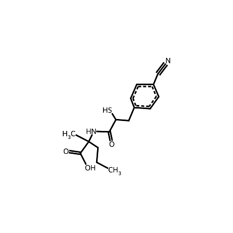 CCCC(C)(NC(=O)C(S)Cc1ccc(C#N)cc1)C(=O)O